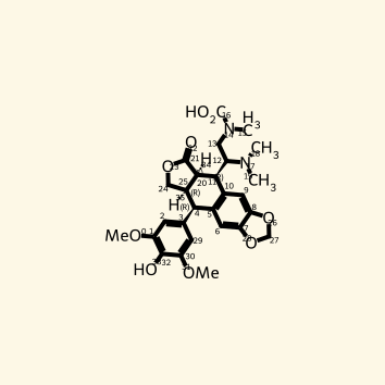 COc1cc([C@@H]2c3cc4c(cc3[C@H](C(CN(C)C(=O)O)N(C)C)[C@@H]3C(=O)OC[C@H]23)OCO4)cc(OC)c1O